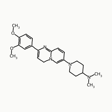 COc1ccc(C2=CCN3C=C(N4CCC(N(C)C)CC4)C=CC3=N2)cc1OC